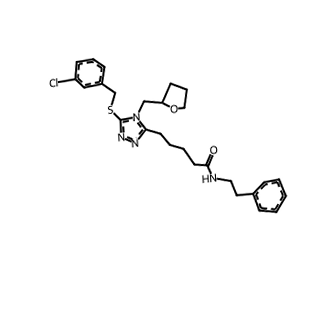 O=C(CCCCc1nnc(SCc2cccc(Cl)c2)n1CC1CCCO1)NCCc1ccccc1